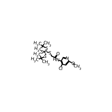 COc1cc(Cl)c(NC(=O)CSP(=S)(SC(C)(C)C)SC(C)(C)C)cn1